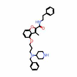 Cc1c(C(=O)NCCc2ccccc2)oc2cccc(OCCCN(Cc3ccccc3)C3CCNCC3)c12